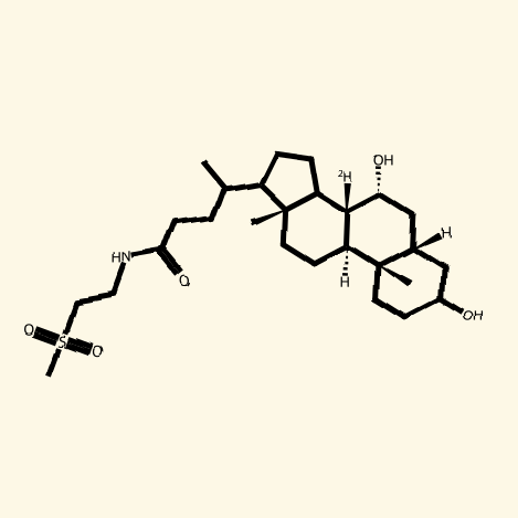 [2H][C@]12C3CCC(C(C)CCC(=O)NCCS(C)(=O)=O)[C@@]3(C)CC[C@@H]1[C@@]1(C)CCC(O)C[C@H]1C[C@H]2O